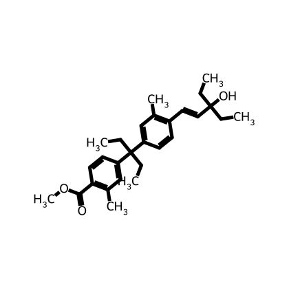 CCC(O)(C=Cc1ccc(C(CC)(CC)c2ccc(C(=O)OC)c(C)c2)cc1C)CC